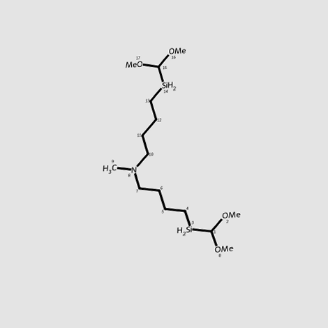 COC(OC)[SiH2]CCCCN(C)CCCC[SiH2]C(OC)OC